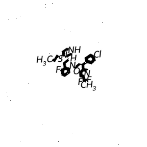 CCCSN1CCNC[C@@H]1CCc1c(F)cccc1NC(=O)C[C@@H](c1ccc(Cl)cc1)c1ccc(C(C)(F)F)nc1